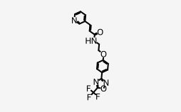 O=C(/C=C/c1cccnc1)NCCOc1ccc(-c2noc(C(F)(F)F)n2)cc1